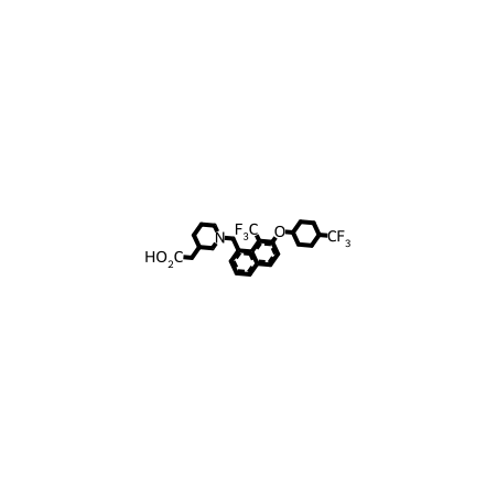 O=C(O)CC1CCCN(Cc2cccc3ccc(OC4CCC(C(F)(F)F)CC4)c(C(F)(F)F)c23)C1